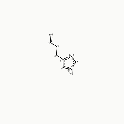 [CH]=CCCc1c[nH]cn1